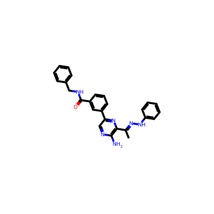 C/C(=N\Nc1ccccc1)c1nc(-c2cccc(C(=O)NCc3ccccc3)c2)cnc1N